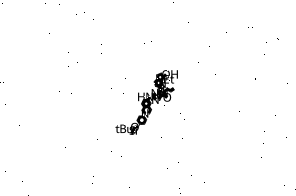 C=CCn1c(=O)c2cnc(Nc3ccc4c(c3)CCN([C@H]3CC[C@@H](CO[Si](C)(C)C(C)(C)C)CC3)C4)nc2n1-c1ccc2c(n1)[C@@](O)(CC)CC2